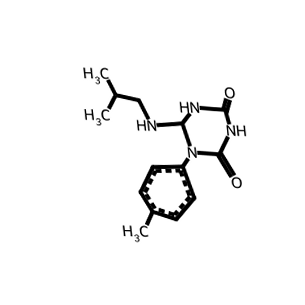 Cc1ccc(N2C(=O)NC(=O)NC2NCC(C)C)cc1